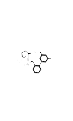 O=C1CCC(=O)N1[S+]([O-])Cc1ccccc1-c1cc(Cl)cc(Cl)c1